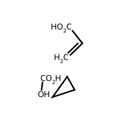 C1CC1.C=CC(=O)O.O=C(O)O